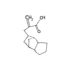 C=C(CC1CC2CC1C1CCCC21)C(=O)O